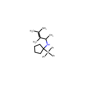 CC([SiH3])=C(C)C(C)NC1([Si](C(C)C)(C(C)C)C(C)C)CCCC1